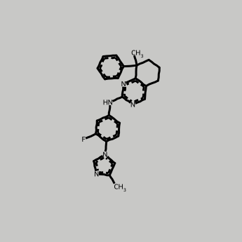 Cc1cn(-c2ccc(Nc3ncc4c(n3)C(C)(c3ccccc3)CCC4)cc2F)cn1